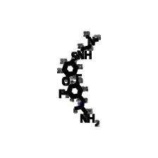 C/C(=C\c1cc(F)c(Oc2ccc(SNCCN(C)C)cc2)c(F)c1)CN